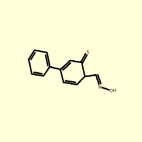 ON=CC1C=CC(c2ccccc2)=CC1=S